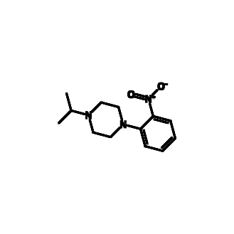 CC(C)N1CCN(c2ccccc2[N+](=O)[O-])CC1